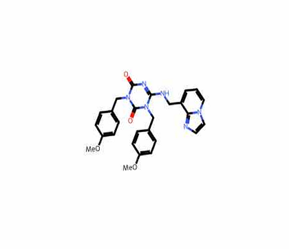 COc1ccc(Cn2c(NCc3cccn4ccnc34)nc(=O)n(Cc3ccc(OC)cc3)c2=O)cc1